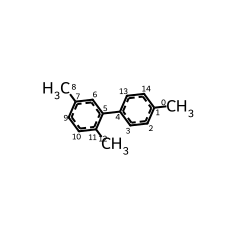 Cc1ccc(-c2cc(C)ccc2C)cc1